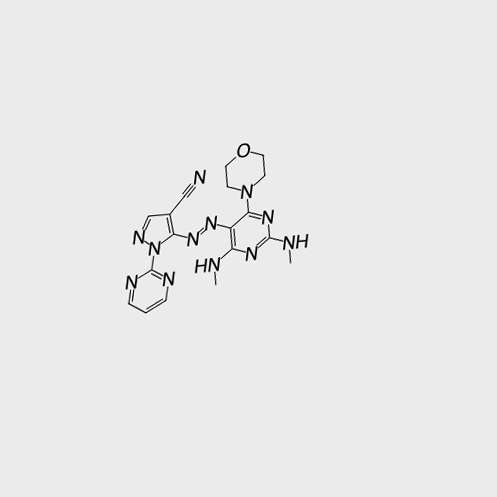 CNc1nc(NC)c(N=Nc2c(C#N)cnn2-c2ncccn2)c(N2CCOCC2)n1